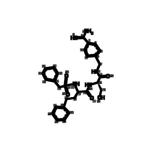 N=C(N)c1ccc(CNC(=O)[C@H](CO)NC(=O)[C@@H](CCc2ccccc2)NS(=O)(=O)Cc2ccccc2)cc1